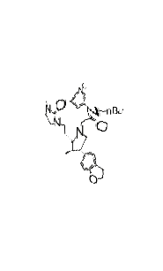 CCCCN(C(=O)CN1C[C@H](c2ccc3c(c2)CCO3)[C@@H](C)[C@@H]1CCN1CCN(C)C1=O)c1ccc[n+](C)c1